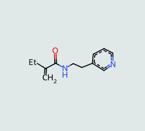 C=C(CC)C(=O)NCCc1cccnc1